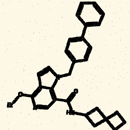 CCOc1ncc(C(=O)NC2CC3(CCC3)C2)c2c1ccn2Cc1ccc(-c2ccccc2)cc1